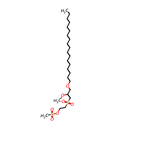 CCCCCCCCCCCCCCCCCCOCC(CS(=O)(=O)CCOS(C)(=O)=O)OC